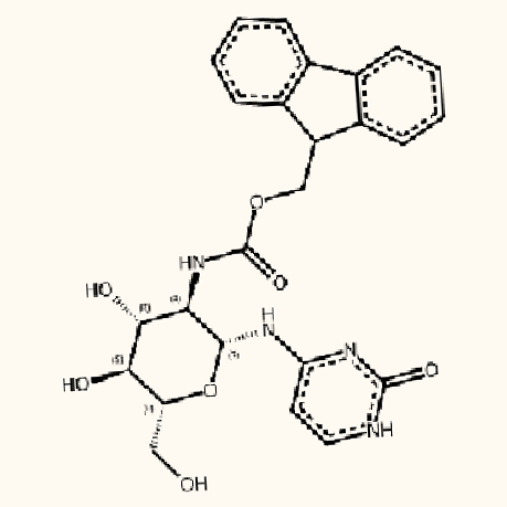 O=C(N[C@@H]1[C@@H](O)[C@H](O)[C@@H](CO)O[C@H]1Nc1cc[nH]c(=O)n1)OCC1c2ccccc2-c2ccccc21